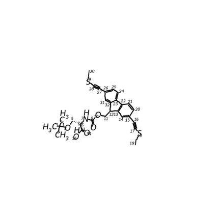 CC(C)(C)OC[C@H](NC(=O)OCC1c2cc(C#CSI)ccc2-c2ccc(C#CSI)cc21)C(=O)O